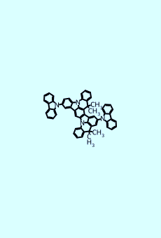 CC1(C)c2ccccc2-n2c3ccc(-n4c5ccccc5c5ccccc54)cc3c3cc4c(c1c32)c1cc(-n2c3ccccc3c3ccccc32)cc2c1n4-c1ccccc1C2(C)C